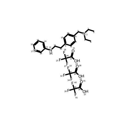 CCN(CC)Cc1ccc(CCNc2cccnc2)cc1.O=C(O)C(F)(F)F.O=C(O)C(F)(F)F.O=C(O)C(F)(F)F